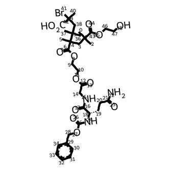 CC(C)(CC(C)(C(=O)OCCOC(=O)CNC(=O)[C@H](CCC(N)=O)NC(=O)OCc1ccccc1)C(C)(C)CC(C)(Br)C(=O)O)C(=O)OCCO